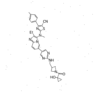 CCc1nc2ccc(-c3cnc(NCC4CN(C(=O)C5(O)CC5)C4)nc3)cn2c1N(C)c1nc(-c2ccc(C)cc2)c(C#N)s1